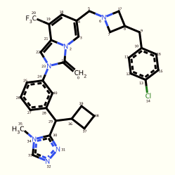 C=C1N2C=C(CN3CC(Cc4ccc(Cl)cc4)C3)C=C(C(F)(F)F)C2=CN1c1cccc(C(c2nncn2C)C2CCC2)c1